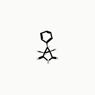 O=C1NC(=O)[C@H]2[C@@H]1[C@@H]2c1ccccc1